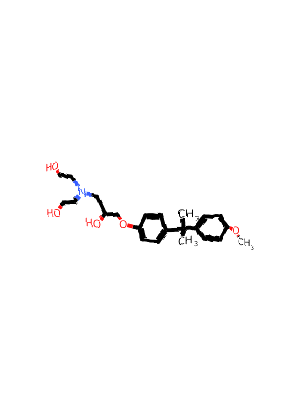 COc1ccc(C(C)(C)c2ccc(OCC(O)CN(CCO)CCO)cc2)cc1